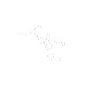 COC(=O)c1cc(-c2cccc(C(F)(F)F)c2)nc2c1[nH]c1cc(N3C[C@@H](C)O[C@@H](C)C3)ccc12